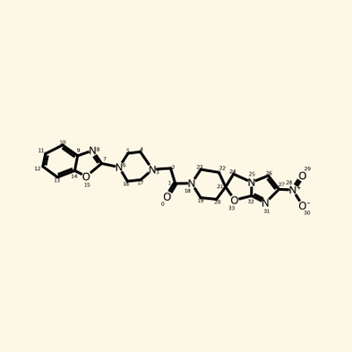 O=C(CN1CCN(c2nc3ccccc3o2)CC1)N1CCC2(CC1)Cn1cc([N+](=O)[O-])nc1O2